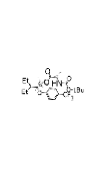 CCC(CC)[C@@H](Oc1ccc(C(F)(F)F)cc1)[C@H](C)OC(=O)[C@H](C)NC(=O)OC(C)(C)C